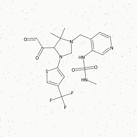 CNS(=O)(=O)Nc1cnccc1CN1CN(c2cc(C(F)(F)F)cs2)C(C(=O)C=O)C1(C)C